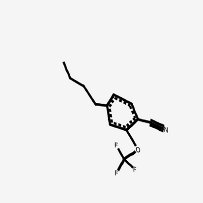 CCCCc1ccc(C#N)c(OC(F)(F)F)c1